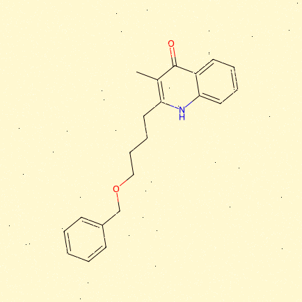 Cc1c(CCCCOCc2ccccc2)[nH]c2ccccc2c1=O